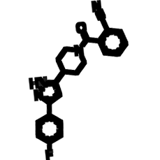 N#Cc1ccccc1C(=O)N1CCC(c2cc(-c3ccc(F)cc3)n[nH]2)CC1